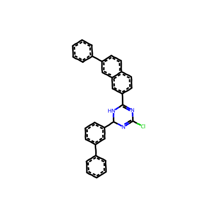 ClC1=NC(c2cccc(-c3ccccc3)c2)NC(c2ccc3ccc(-c4ccccc4)cc3c2)=N1